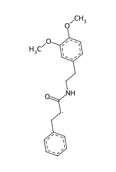 COc1ccc(CCNC(=O)[CH]Cc2ccccc2)cc1OC